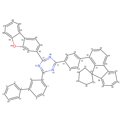 c1ccc(-c2cccc(-c3nc(-c4ccc(-c5cccc6c5C5(CCCCC5)c5ccccc5-6)cc4)nc(-c4ccc5c(c4)oc4ccccc45)n3)c2)cc1